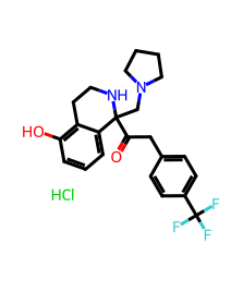 Cl.O=C(Cc1ccc(C(F)(F)F)cc1)C1(CN2CCCC2)NCCc2c(O)cccc21